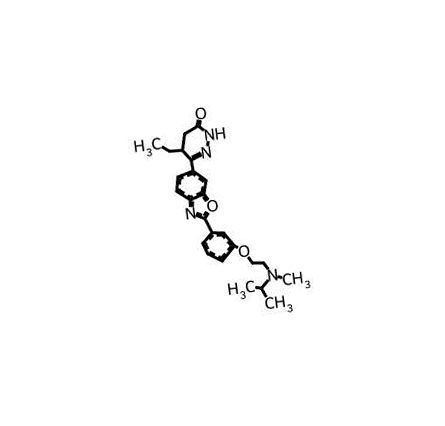 CCC1CC(=O)NN=C1c1ccc2nc(-c3cccc(OCCN(C)C(C)C)c3)oc2c1